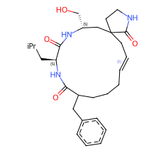 CC(C)C[C@@H]1NC(=O)C(Cc2ccccc2)CCC/C=C/CC2(CCNC2=O)C[C@@H](CO)NC1=O